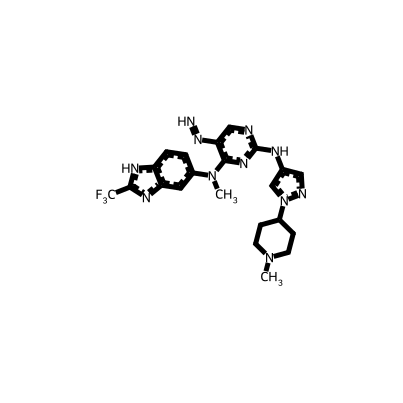 CN1CCC(n2cc(Nc3ncc(N=N)c(N(C)c4ccc5[nH]c(C(F)(F)F)nc5c4)n3)cn2)CC1